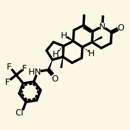 CC1=C2N(C)C(=O)CC[C@]2(C)[C@H]2CC[C@]3(C)[C@@H](C(=O)Nc4ccc(Cl)cc4C(F)(F)F)CC[C@H]3[C@@H]2C1